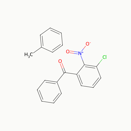 Cc1ccccc1.O=C(c1ccccc1)c1cccc(Cl)c1[N+](=O)[O-]